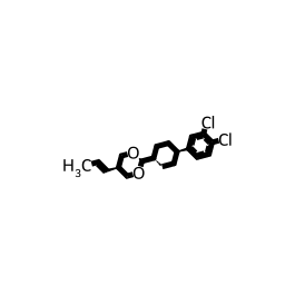 CC=C[C@H]1CO[C@H]([C@H]2CC[C@H](c3ccc(Cl)c(Cl)c3)CC2)OC1